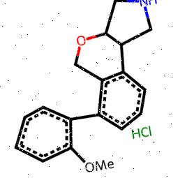 COc1ccccc1-c1cccc2c1COC1CNCC21.Cl